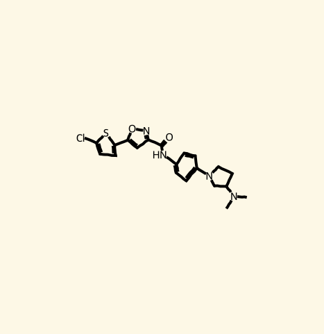 CN(C)C1CCN(c2ccc(NC(=O)c3cc(-c4ccc(Cl)s4)on3)cc2)C1